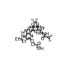 CC(C)(C)C(=O)Cl.CCC(CC)Nc1nc(Cl)nc2c1ncn2[C@@H]1O[C@H](C(=O)NNC(=O)C2CC2)[C@H]2OC(C)(C)O[C@H]21